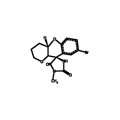 CN1C(=O)N[C@]2(C1=O)c1cc(Br)ccc1O[C@H]1CCCOC12